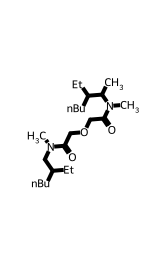 CCCCC(CC)CN(C)C(=O)COCC(=O)N(C)C(C)C(CC)CCCC